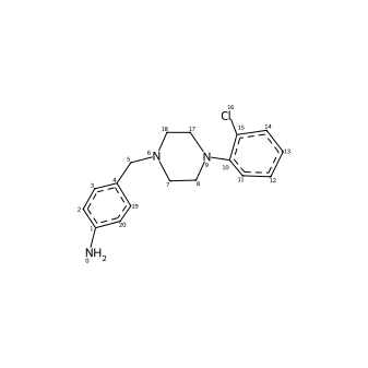 Nc1ccc(CN2CCN(c3ccccc3Cl)CC2)cc1